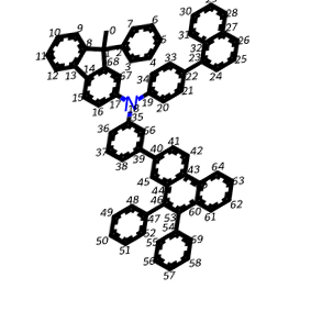 CC1(c2ccccc2)c2ccccc2-c2ccc(N(c3ccc(-c4cccc5ccccc45)cc3)c3cccc(-c4ccc5c(c4)c(-c4ccccc4)c(-c4ccccc4)c4ccccc45)c3)cc21